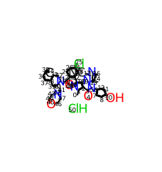 Cc1c(C(=O)N(c2ccc(O)cc2)c2ccnc(C#N)n2)cc(-c2cc(Cl)ccc2C(=O)N2Cc3ccccc3C[C@H]2CN2CCOCC2)n1C.Cl